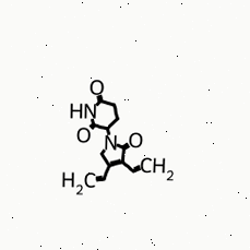 C=CC1=C(C=C)C(=O)N(C2CCC(=O)NC2=O)C1